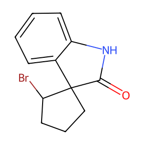 O=C1Nc2ccccc2C12CCCC2Br